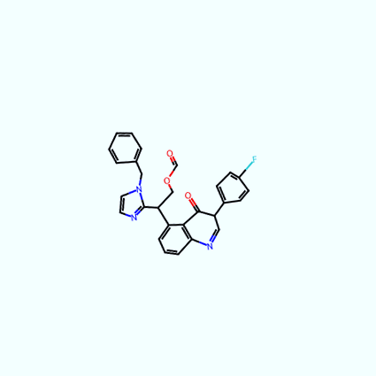 O=COCC(c1cccc2c1C(=O)C(c1ccc(F)cc1)C=N2)c1nccn1Cc1ccccc1